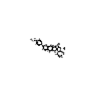 Cc1ccc(-c2ccc3cc4c(cc3n2)CC2(C4)C(=O)NC3=C2C=CCN3)cc1